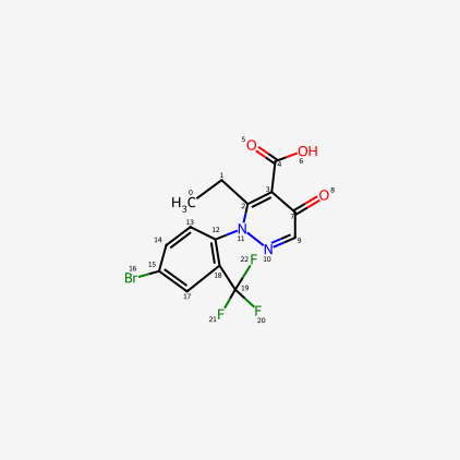 CCc1c(C(=O)O)c(=O)cnn1-c1ccc(Br)cc1C(F)(F)F